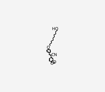 N#C/C(=C\c1ccc(OCCCCCCCCCCCO)cc1)c1ccc2c(c1)OCO2